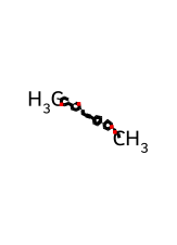 CCCC[C@H]1CC[C@H](c2ccc(C#CC=C[C@H]3CC[C@H]([C@H]4CC[C@H](C)CC4)CC3)cc2)CC1